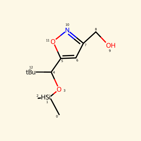 C[SiH](C)OC(c1cc(CO)no1)C(C)(C)C